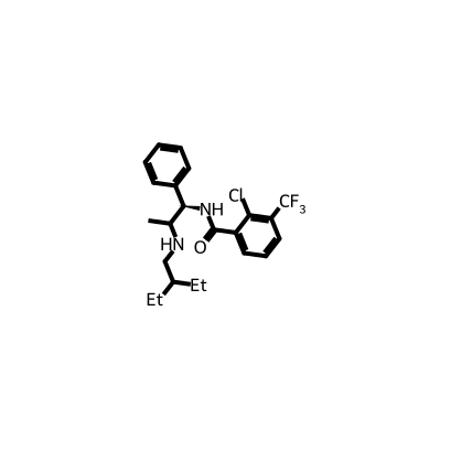 CCC(CC)CNC(C)[C@H](NC(=O)c1cccc(C(F)(F)F)c1Cl)c1ccccc1